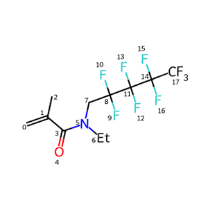 C=C(C)C(=O)N(CC)CC(F)(F)C(F)(F)C(F)(F)C(F)(F)F